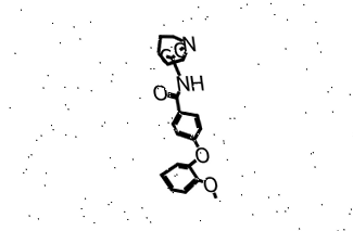 COc1ccccc1Oc1ccc(C(=O)NC2CC3CCN(CC3)C2)cc1